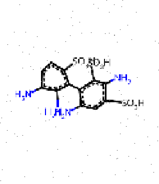 Nc1ccc(S(=O)(=O)O)c(-c2c(N)cc(S(=O)(=O)O)c(N)c2S(=O)(=O)O)c1N